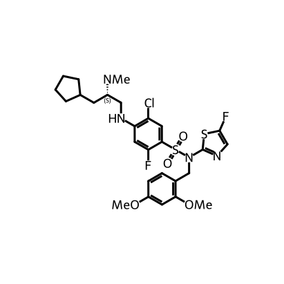 CN[C@H](CNc1cc(F)c(S(=O)(=O)N(Cc2ccc(OC)cc2OC)c2ncc(F)s2)cc1Cl)CC1CCCC1